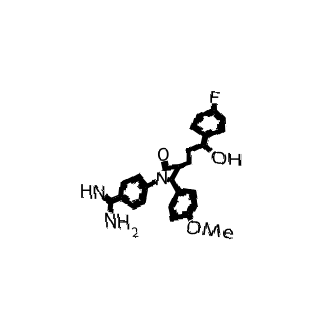 COc1ccc(C2C(CCC(O)c3ccc(F)cc3)C(=O)N2c2ccc(C(=N)N)cc2)cc1